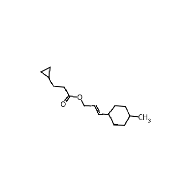 CC1CCC(C=CCOC(=O)CCC2CC2)CC1